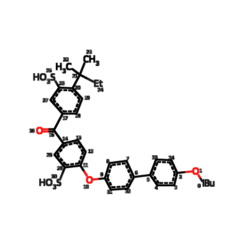 CCC(C)Oc1ccc(-c2ccc(Oc3ccc(C(=O)c4ccc(C(C)(C)CC)c(S(=O)(=O)O)c4)cc3S(=O)(=O)O)cc2)cc1